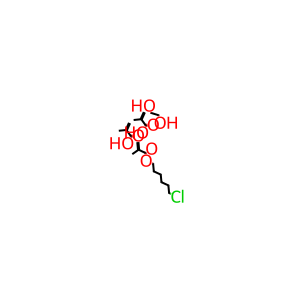 C=C(C)C(=O)O.C=C(C)C(=O)O.C=C(C)C(=O)OCCCCCCCl.OCCO